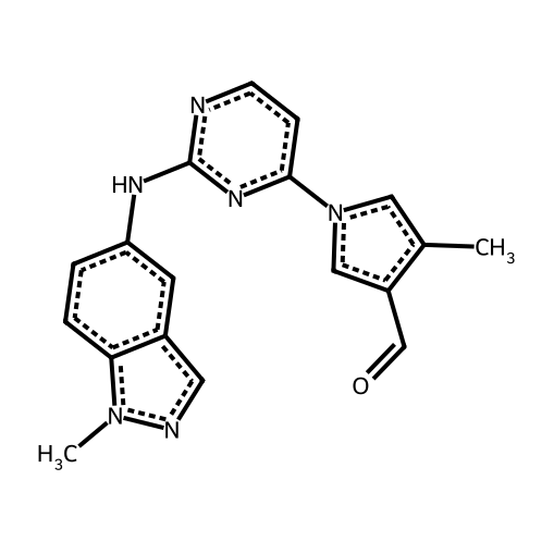 Cc1cn(-c2ccnc(Nc3ccc4c(cnn4C)c3)n2)cc1C=O